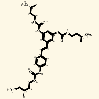 CC(=O)O[C@H](C)CCOC(=O)Oc1cc(/C=C/c2ccc(OC(=O)OCC[C@@H](C)CC(=O)O)cc2)cc(OC(=O)OCC[C@@H](C)OC(C)=O)c1